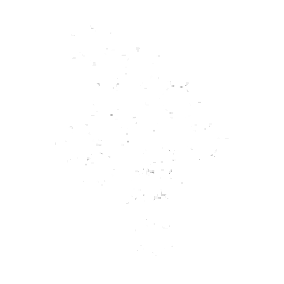 Clc1nc(-c2ccccc2)nc(-c2ccccc2-c2cc3c4c5c2c2ccccc2n5-c2ccccc2-c2cccc(c2-4)C3(c2cccc(-c3ccccc3)c2)c2cccc(-c3ccccc3)c2)n1